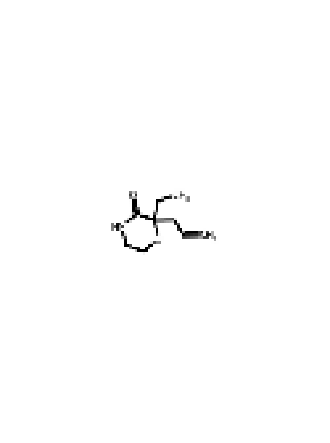 C=CCC1(CC)OCCNC1=O